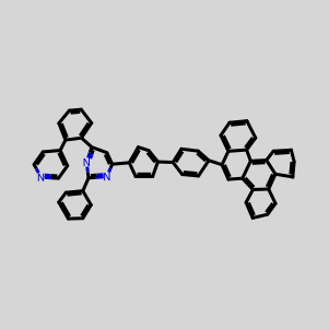 c1ccc(-c2nc(-c3ccc(-c4ccc(-c5cc6c7ccccc7c7ccccc7c6c6ccccc56)cc4)cc3)cc(-c3ccccc3-c3ccncc3)n2)cc1